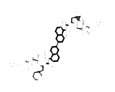 COC(=O)N[C@H](C(=O)N1C[C@]2(CCCOC2)C[C@H]1c1nc2ccc3cc(-c4ccc5c(ccc6nc([C@@H]7C[C@H]8C[C@H]8N7C(=O)[C@@H](NC(=O)OC)C(C)C)[nH]c65)c4)ccc3c2[nH]1)C(C)C